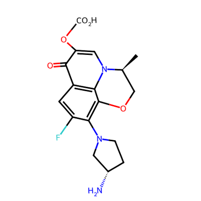 C[C@H]1COc2c(N3CC[C@H](N)C3)c(F)cc3c(=O)c(OC(=O)O)cn1c23